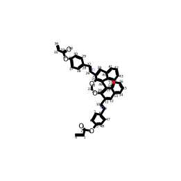 C=CC(=O)Oc1ccc(/C=C/c2cc3ccccc3c3c2OCOc2c(/C=C/c4ccc(OC(=O)C=C)cc4)cc4ccccc4c2-3)cc1